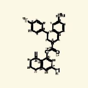 CC(C)(C)c1ccc(CN(CCc2ccc(F)cc2)C(=O)Oc2cc(Cl)cc3c2NCCC3)cc1